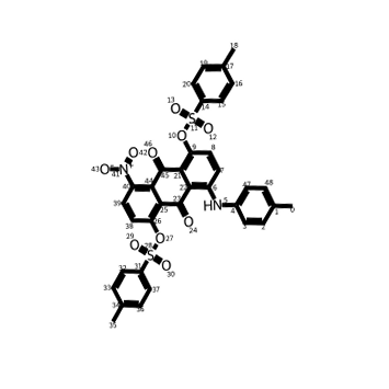 Cc1ccc(Nc2ccc(OS(=O)(=O)c3ccc(C)cc3)c3c2C(=O)c2c(OS(=O)(=O)c4ccc(C)cc4)ccc([N+](=O)[O-])c2C3=O)cc1